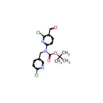 CC(C)(C)OC(=O)N(Cc1ccc(Cl)nc1)c1ccc(C=O)c(Cl)n1